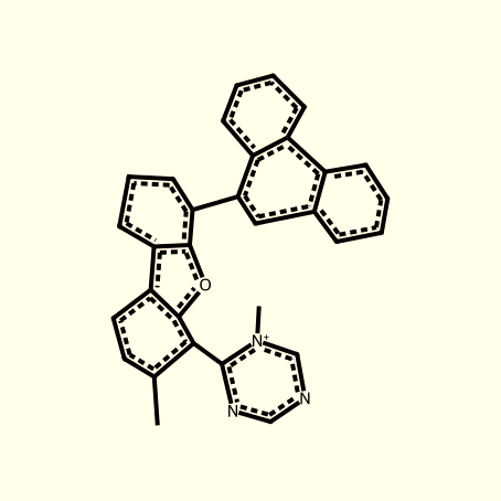 Cc1ccc2c(oc3c(-c4cc5ccccc5c5ccccc45)cccc32)c1-c1ncnc[n+]1C